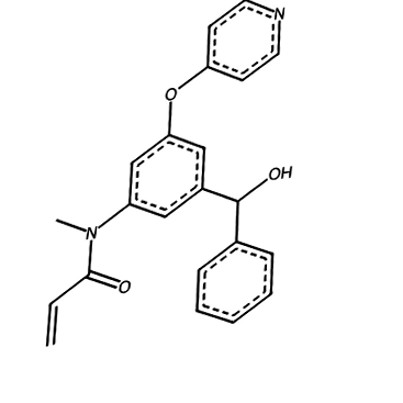 C=CC(=O)N(C)c1cc(Oc2ccncc2)cc(C(O)c2ccccc2)c1